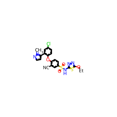 CCOc1nnc(NS(=O)(=O)c2ccc(Oc3ccc(Cl)cc3-c3ccnn3C)c(C#N)c2)s1